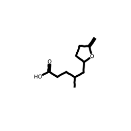 C=C1CCC(CC(C)CCC(=O)O)O1